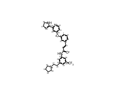 O=C(/C=C/c1cccc(Oc2ccnc(C3=NCCN3)c2)c1)Nc1cc(CCN2CCCC2)cc(C(F)(F)F)c1